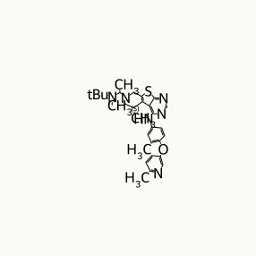 Cc1ccc(Oc2ccc(Nc3ncnc4sc5c(c34)[C@H](C)CN(C(C)N(C)C(C)(C)C)C5)cc2C)cn1